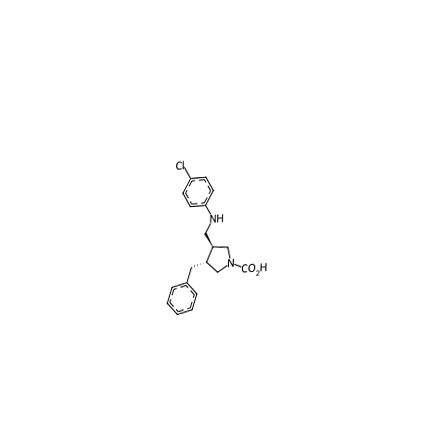 O=C(O)N1C[C@H](CNc2ccc(Cl)cc2)[C@@H](Cc2ccccc2)C1